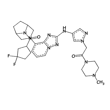 CN1CCN(C(=O)Cn2cc(Nc3nc4c(N5CC6CCC(C5)N6C(=O)C5CCC(F)(F)C5)cccn4n3)cn2)CC1